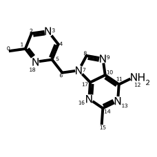 Cc1cncc(Cn2cnc3c(N)nc(C)nc32)n1